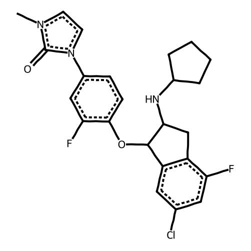 Cn1ccn(-c2ccc(OC3c4cc(Cl)cc(F)c4CC3NC3CCCC3)c(F)c2)c1=O